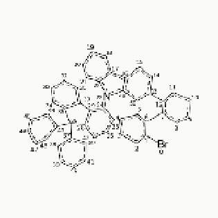 Brc1ccccc1-c1ccccc1-c1ccc2c3ccccc3n(-c3cccc4c3-c3ccccc3C4(c3ccccc3)c3ccccc3)c2c1